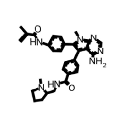 C=C(C)C(=O)Nc1ccc(-c2c(-c3ccc(C(=O)NCC4CCCN4C)cc3)c3c(N)ncnc3n2C)cc1